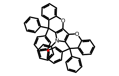 c1ccc(-n2c3c(c4c2C(c2ccccc2)(c2ccccc2)c2ccccc2O4)Oc2ccccc2C3(c2ccccc2)c2ccccc2)cc1